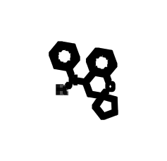 CCN(c1ccccc1)C1CC2(CCCC2)Oc2ccccc21